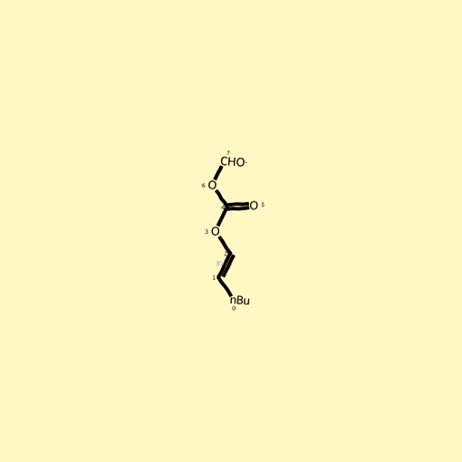 CCCC/C=C/OC(=O)O[C]=O